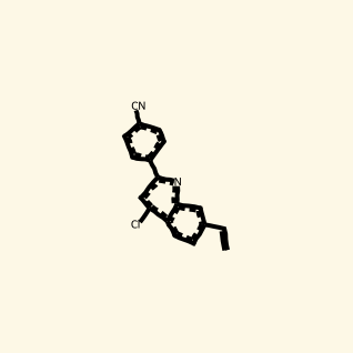 C=Cc1ccc2c(Cl)cc(-c3ccc(C#N)cc3)nc2c1